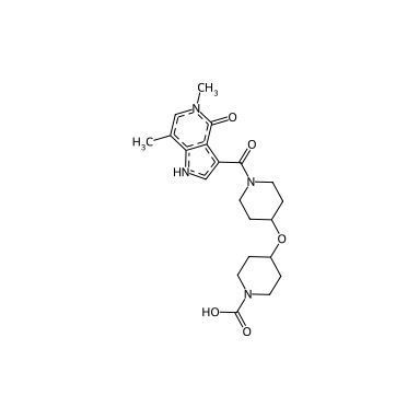 Cc1cn(C)c(=O)c2c(C(=O)N3CCC(OC4CCN(C(=O)O)CC4)CC3)c[nH]c12